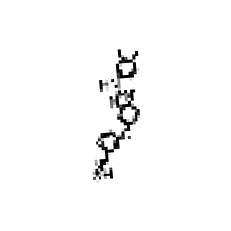 Cc1ccc(Nc2nc3cc(Oc4ccnc(/C=N/O)c4)ccc3n2C)cc1C